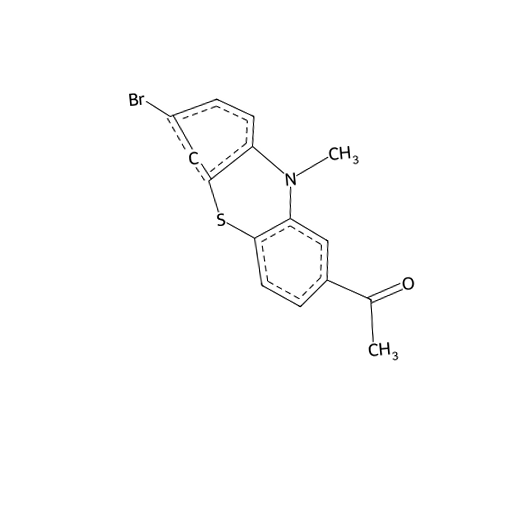 CC(=O)c1ccc2c(c1)N(C)c1ccc(Br)cc1S2